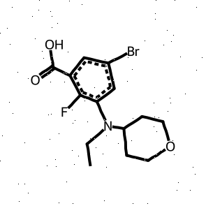 CCN(c1cc(Br)cc(C(=O)O)c1F)C1CCOCC1